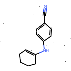 N#Cc1ccc(NC2=CCCCC2)cc1